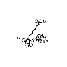 COC(=O)CCCCCC[C@H]1[C@@H](C)CC(O)[C@@H]1CO[Si](C)(C)C(C)(C)C